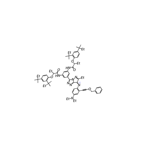 CCC1=Nn2c(nnc2-c2cc(NC(=O)C(CC)Oc3ccc(C(C)(C)CC)cc3C(C)(C)CC)cc(NC(=O)C(CC)Oc3ccc(C(C)(C)CC)cc3C(C)(C)CC)c2)/C1=N\c1ccc(N(CC)CC)cc1C#COCc1ccccc1